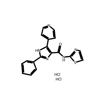 Cl.Cl.O=C(Nc1nccs1)c1nc(-c2ccccc2)[nH]c1-c1ccncc1